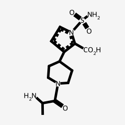 CC(N)C(=O)N1CCC(c2ccn(S(N)(=O)=O)c2C(=O)O)CC1